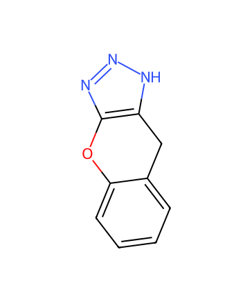 c1ccc2c(c1)Cc1[nH]nnc1O2